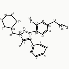 Cc1c(-c2ccccc2)c(-c2ccc(CN)cc2F)nn1CC1CC[CH]CC1